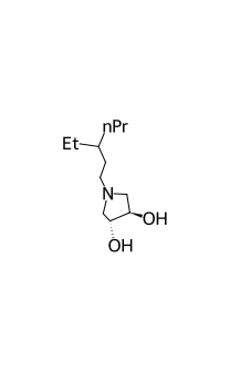 CCCC(CC)CCN1C[C@@H](O)[C@H](O)C1